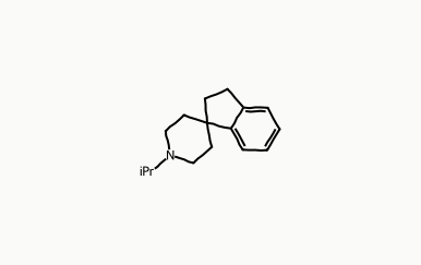 CC(C)N1CCC2(CCc3ccccc32)CC1